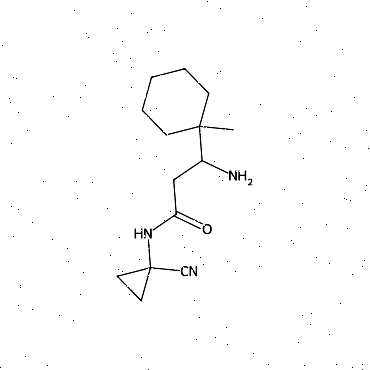 CC1(C(N)CC(=O)NC2(C#N)CC2)CCCCC1